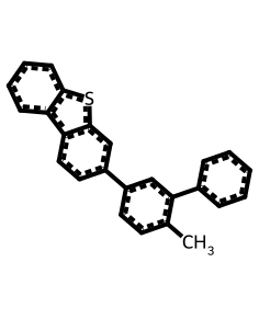 Cc1ccc(-c2ccc3c(c2)sc2ccccc23)cc1-c1ccccc1